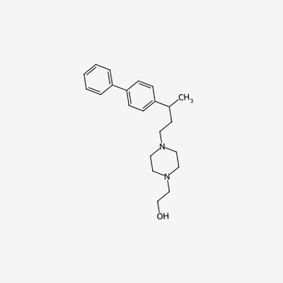 CC(CCN1CCN(CCO)CC1)c1ccc(-c2ccccc2)cc1